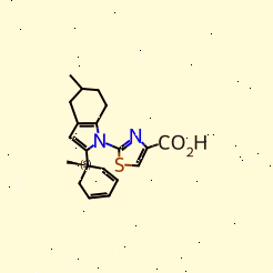 CC1CCc2c(cc([C@]3(C)C=CC=CC3)n2-c2nc(C(=O)O)cs2)C1